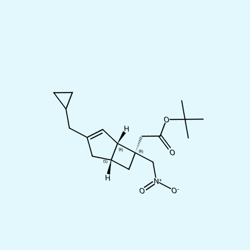 CC(C)(C)OC(=O)C[C@]1(C[N+](=O)[O-])C[C@@H]2CC(CC3CC3)=C[C@@H]21